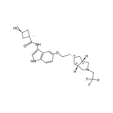 C[C@]1(C(=O)Nc2c[nH]c3ccc(OCC[C@@H]4C[C@@H]5CN(CC(F)(F)F)C[C@@H]5C4)cc23)C[C@@H](O)C1